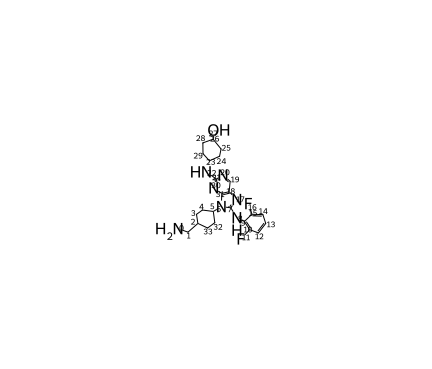 NCC1CCC(n2c(Nc3c(F)cccc3F)nc3cnc(N[C@H]4CC[C@H](O)CC4)nc32)CC1